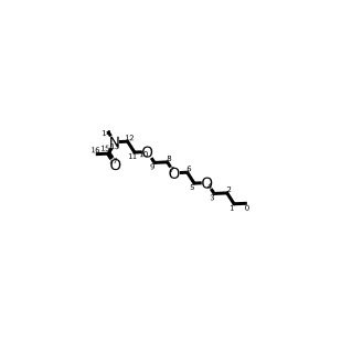 CCCCOCCOCCOCCN(C)C(C)=O